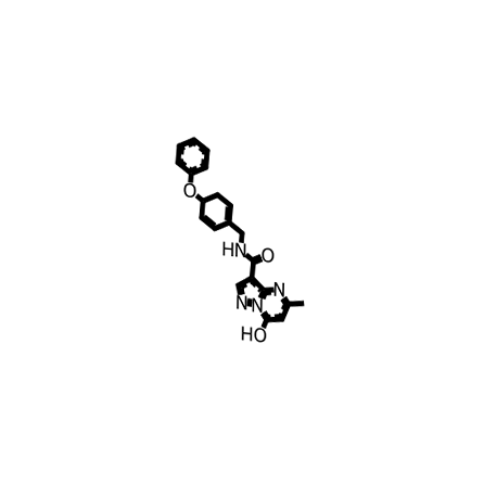 Cc1cc(O)n2ncc(C(=O)NCC3=CCC(Oc4ccccc4)C=C3)c2n1